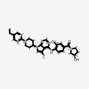 CCc1cnc(N2CCC(n3cc(F)c4c(Nc5ccc(C(=O)N6CC[C@@H](O)C6)cc5Cl)ncnc43)CC2)nc1